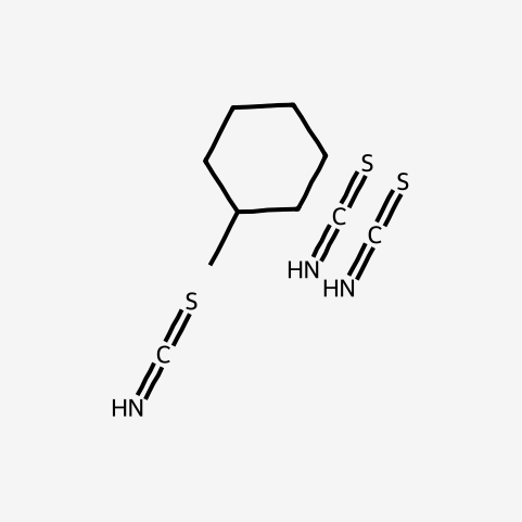 CC1CCCCC1.N=C=S.N=C=S.N=C=S